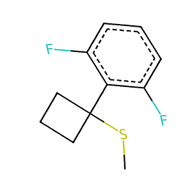 CSC1(c2c(F)cccc2F)CCC1